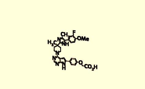 COc1ccc(-c2[nH]c(C3(C)CCN(c4ncnc5[nH]c(-c6ccc(OCC(=O)O)cc6)cc45)CC3)nc2C)cc1F